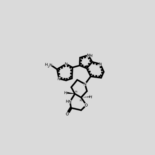 Nc1nccc(-c2c[nH]c3nccc(N4CC[C@H]5NC(=O)CO[C@@H]5C4)c23)n1